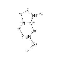 CSN1CCN2CCN(C)C2C1